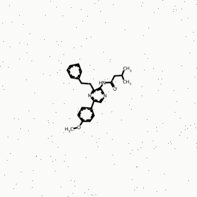 COc1ccc(-c2cnc(NC(=O)CC(C)C)c(CCc3ccccc3)n2)cc1